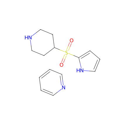 O=S(=O)(c1ccc[nH]1)C1CCNCC1.c1ccncc1